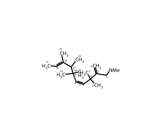 C=C(CNC)C(C)(C)/C=C\C(C)(C)C(C)C(C)=CC